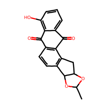 CC1OC2Cc3c(ccc4c3C(=O)c3cccc(O)c3C4=O)C2O1